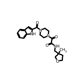 CC1(CNC(=O)C(=O)N2CCN(C(=O)c3cc4ccccc4[nH]3)CC2)CCOC1